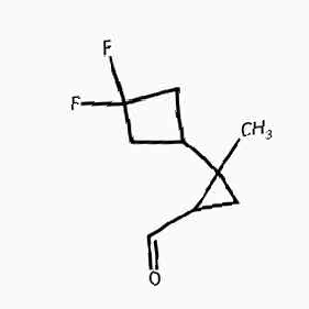 CC1(C2CC(F)(F)C2)CC1C=O